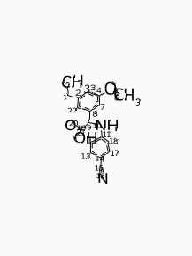 CCc1cc(OC)cc(C(Nc2ccc(C#N)cc2)C(=O)O)c1